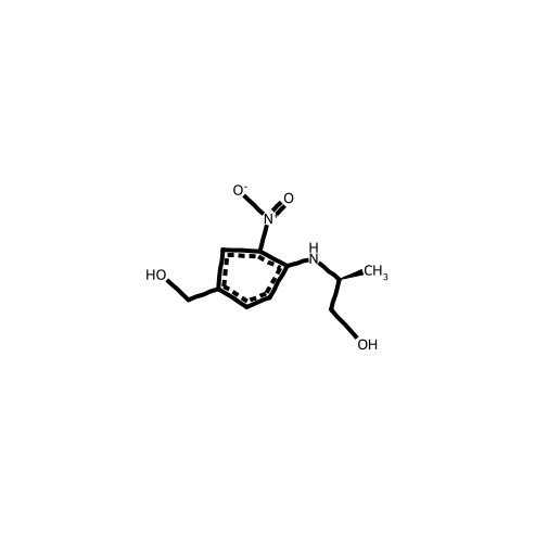 C[C@@H](CO)Nc1ccc(CO)cc1[N+](=O)[O-]